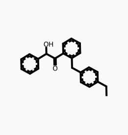 CCc1ccc(Cc2ccccc2C(=O)C(O)c2ccccc2)cc1